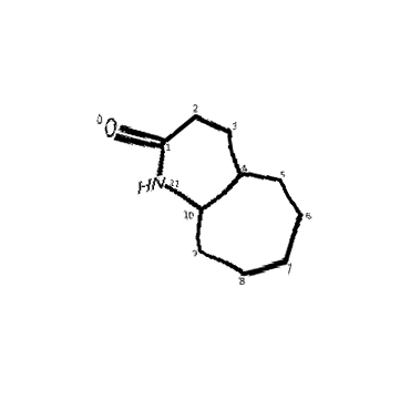 O=C1CCC2CCCCCC2N1